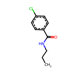 CC[CH]NC(=O)c1ccc(Cl)cc1